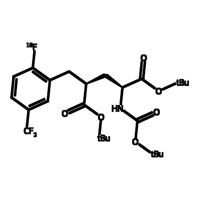 CC(C)(C)OC(=O)N[C@@H](C[C@H](Cc1cc(C(F)(F)F)ccc1[18F])C(=O)OC(C)(C)C)C(=O)OC(C)(C)C